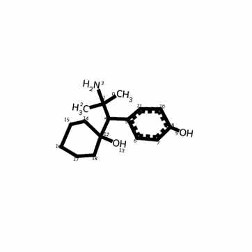 CC(C)(N)C(c1ccc(O)cc1)C1(O)CCCCC1